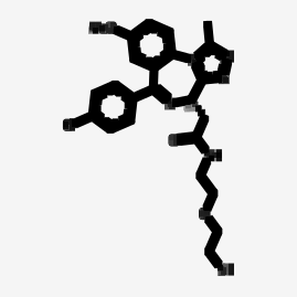 COc1ccc2c(c1)C(c1ccc(Cl)cc1)=N[C@@H](CC(=O)NCCOCCS)c1nnc(C)n1-2